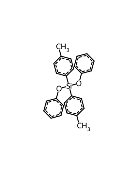 Cc1ccc([Si](Oc2ccccc2)(Oc2ccccc2)c2ccc(C)cc2)cc1